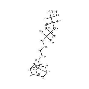 O=S(=O)(O)C(F)(F)C(F)(F)OC(F)(F)C(F)(F)CCCOCC12CC3CC(CC(C3)C1)C2